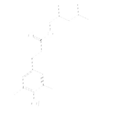 Cc1cc(CCC(=O)OCC(C)CC(C)C)cc(C)c1O